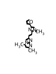 Cc1cc(C)n2cc(C=Cc3nc(-c4ccco4)cn3C)nc2n1